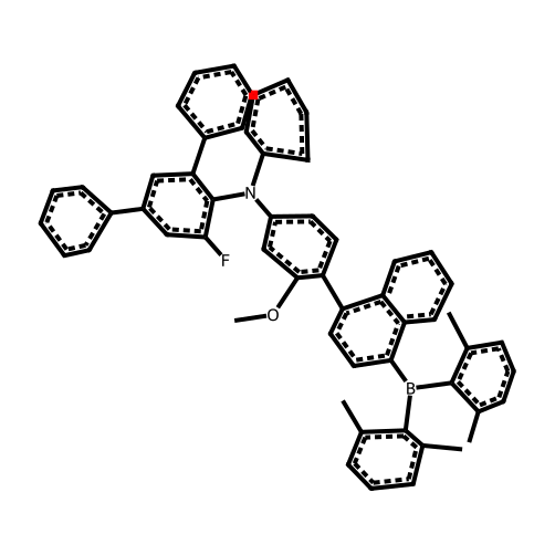 COc1cc(N(c2ccccc2)c2c(F)cc(-c3ccccc3)cc2-c2ccccc2)ccc1-c1ccc(B(c2c(C)cccc2C)c2c(C)cccc2C)c2ccccc12